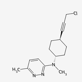 Cc1ccc(N(C)[C@H]2CC[C@H](C#CCCl)CC2)nn1